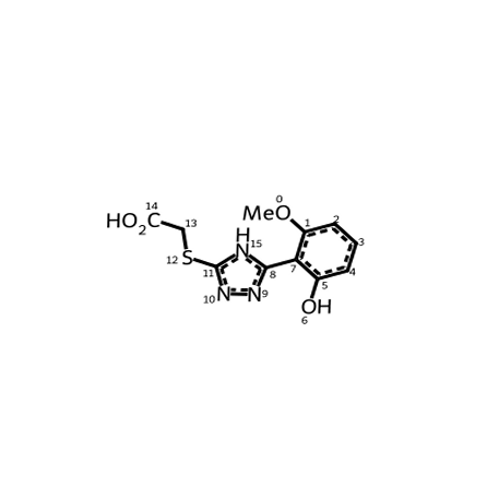 COc1cccc(O)c1-c1nnc(SCC(=O)O)[nH]1